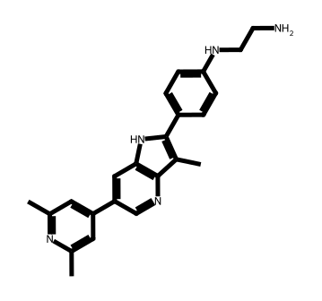 Cc1cc(-c2cnc3c(C)c(-c4ccc(NCCN)cc4)[nH]c3c2)cc(C)n1